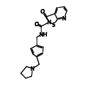 O=C(NCc1ccc(CN2CCCC2)cc1)n1sc2ncccc2c1=O